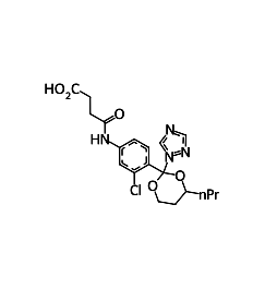 CCCC1CCOC(c2ccc(NC(=O)CCC(=O)O)cc2Cl)(n2cncn2)O1